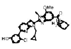 COc1cc(C(=O)N2CC3CCC2[C@@H]3N)cc2nc(-c3cc4ccc(-c5cc(O)ccc5Cl)nc4n3CC3CC3)n(C)c12